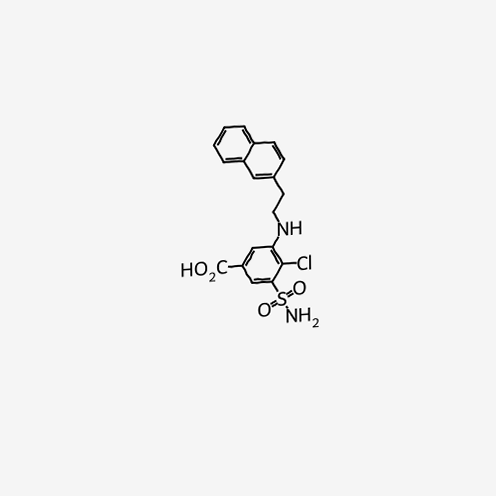 NS(=O)(=O)c1cc(C(=O)O)cc(NCCc2ccc3ccccc3c2)c1Cl